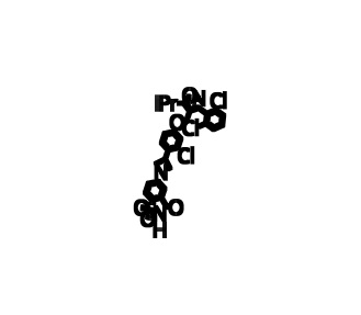 CC(C)c1onc(-c2c(Cl)cccc2Cl)c1COc1ccc(C2CN(c3ccc4c(c3)C(=O)NS4(=O)=O)C2)c(Cl)c1